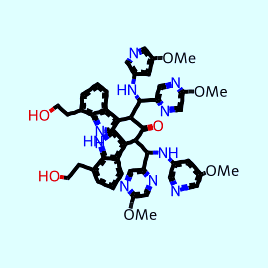 COc1cncc(NC(c2cnc(OC)cn2)C(C(=O)C(c2c[nH]c3c(CCO)cccc23)C(Nc2cncc(OC)c2)c2cnc(OC)cn2)c2c[nH]c3c(CCO)cccc23)c1